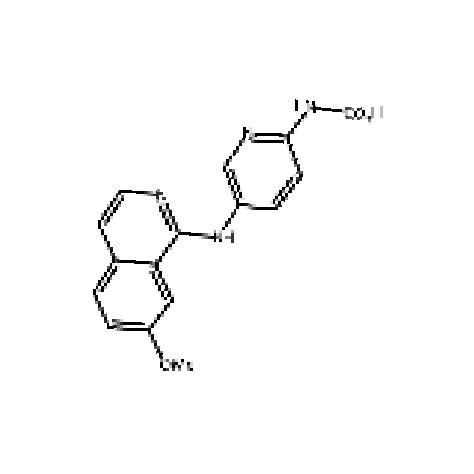 COc1ccc2ccnc(Nc3ccc(NC(=O)O)nc3)c2c1